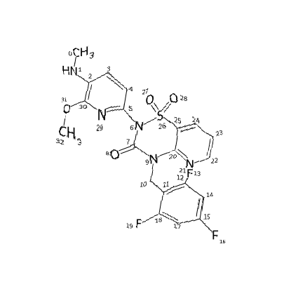 CNc1ccc(N2C(=O)N(Cc3c(F)cc(F)cc3F)c3ncccc3S2(=O)=O)nc1OC